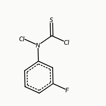 Fc1cccc(N(Cl)C(=S)Cl)c1